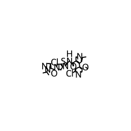 COc1cnc(Cl)cc1-c1cc(C)ncc1C(=O)Nc1nc2c(s1)CN(C(=O)c1c(Cl)cnn1C(C)C)C2